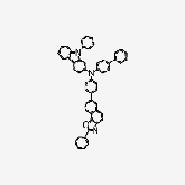 c1ccc(-c2ccc(N(c3ccc(-c4ccc5c(ccc6nc(-c7ccccc7)oc65)c4)cc3)c3ccc4c5ccccc5n(-c5ccccc5)c4c3)cc2)cc1